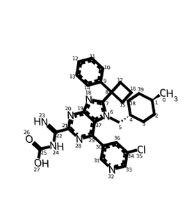 C[C@H]1CC[C@H](Cn2c(C3(c4ccccc4)CCC3)nc3nc(C(=N)NC(=O)O)nc(-c4cncc(Cl)c4)c32)CC1